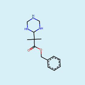 CC(C)(C(=O)OCc1ccccc1)C1NCNCN1